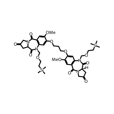 COc1cc2c(cc1OCCCOc1cc3c(cc1OC)C(=O)N1CC(=O)C[C@H]1C(=O)N3COCC[Si](C)(C)C)N(COCC[Si](C)(C)C)C(=O)C1CC(=O)CN1C2=O